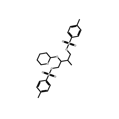 Cc1ccc(S(=O)(=O)OCC(C)C(COS(=O)(=O)c2ccc(C)cc2)OC2CCCCO2)cc1